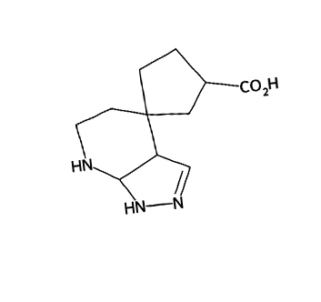 O=C(O)C1CCC2(CCNC3NN=CC32)C1